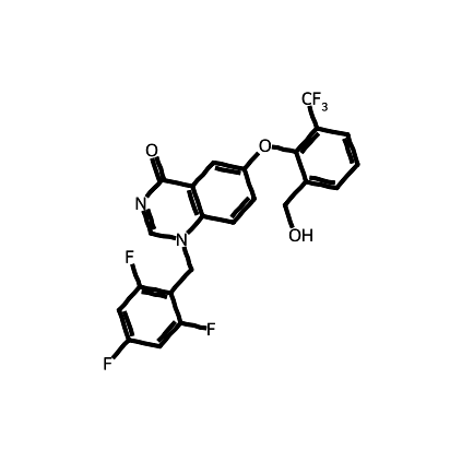 O=c1ncn(Cc2c(F)cc(F)cc2F)c2ccc(Oc3c(CO)cccc3C(F)(F)F)cc12